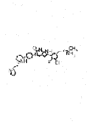 C[C@H](N)CCCc1cc(Cl)c(F)c(-c2cc3cn(-c4ccc([C@@H]5CCC[C@@H](CCn6cccn6)N5)cc4)c(=O)nc3[nH]2)c1